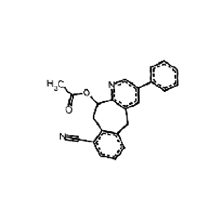 CC(=O)OC1Cc2c(C#N)cccc2Cc2cc(-c3ccccc3)cnc21